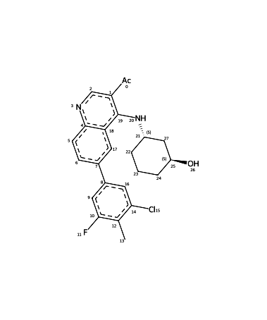 CC(=O)c1cnc2ccc(-c3cc(F)c(C)c(Cl)c3)cc2c1N[C@H]1CCC[C@H](O)C1